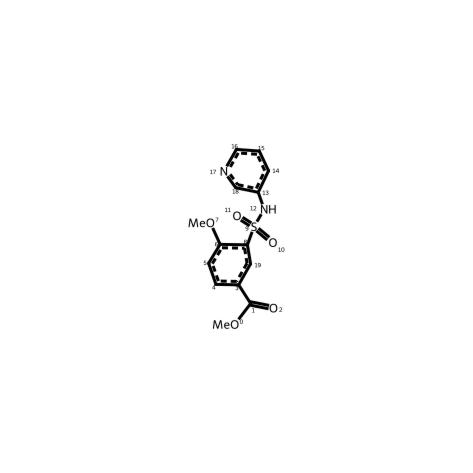 COC(=O)c1ccc(OC)c(S(=O)(=O)Nc2cccnc2)c1